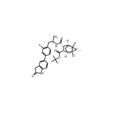 C[C@H]1[C@H]2[C@H]3C[C@@H]([C@@H]12)N(C(=O)OC(C)(C)C)[C@@H]3C(=O)N[C@H](N)Cc1ccc(-c2ccc3c(c2)CC(=O)N3)cc1F